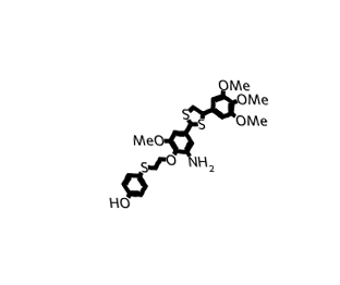 COc1cc(C2SCC(c3cc(OC)c(OC)c(OC)c3)S2)cc(N)c1OCCSc1ccc(O)cc1